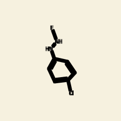 FNNc1ccc(Cl)cc1